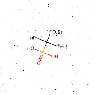 CCCC(C)C(CCC)(C(=O)OCC)P(=O)(O)O